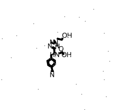 N#Cc1ccc(C[C@H](NC(=O)O)c2nnn(CCO)n2)cc1